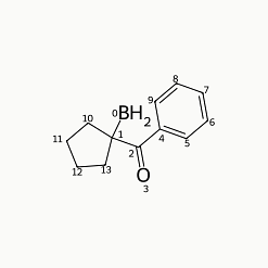 BC1(C(=O)c2ccccc2)CCCC1